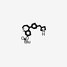 CC(C)(C)C(=O)Oc1ccc2c(c1)SCCC=C2c1ccc(CC2CCNC2)cc1